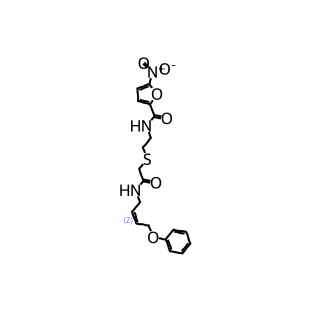 O=C(CSCCNC(=O)c1ccc([N+](=O)[O-])o1)NC/C=C\COc1ccccc1